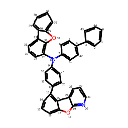 c1ccc(-c2ccc(N(c3ccc(-c4cccc5oc6ncccc6c45)cc3)c3cccc4c3oc3ccccc34)cc2)cc1